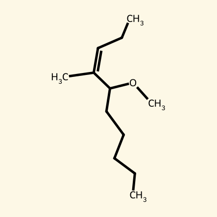 CCC=C(C)C(CCCCC)OC